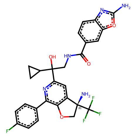 Nc1nc2ccc(C(=O)NCC(O)(c3cc4c(c(-c5ccc(F)cc5)n3)OC[C@@]4(N)C(F)(F)F)C3CC3)cc2o1